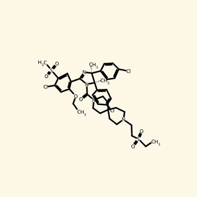 CCOc1cc(Cl)c(S(C)(=O)=O)cc1C1=N[C@@](C)(c2ccc(Cl)cc2)[C@@](C)(c2ccc(Cl)cc2)N1C(=O)N1CCC2(CCN(CCS(=O)(=O)CC)CC2)CC1